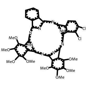 COc1c(OC)c(OC)c2c(c1OC)-c1nc-2nc2[nH]c(nc3nc(nc4[nH]c(n1)c1c(Cl)c(Cl)ccc41)-c1ccccc1-3)c1c(OC)c(OC)c(OC)c(OC)c21